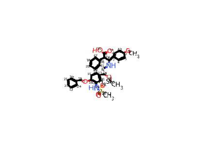 COc1ccc(C(NC[C@H](O[SiH2]C)c2ccc(OCc3ccccc3)c(NS(C)(=O)=O)c2)C(C(=O)O)c2ccccc2)cc1